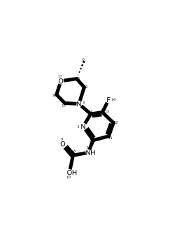 C[C@@H]1CN(c2nc(NC(=O)O)ccc2F)CCO1